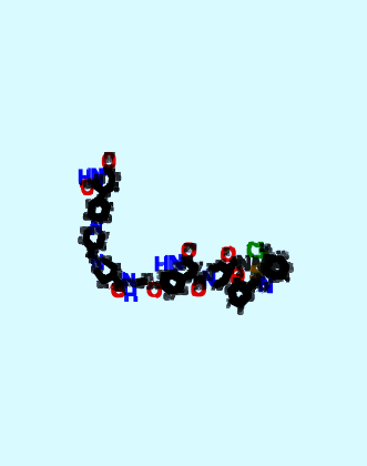 CNC(=O)C1(Oc2ccccc2-c2nc3cccc(Cl)c3s2)CCN(C(=O)[C@H]2CC(=O)Nc3cc(OCCNC(=O)C4CCN(CC5CCN(c6ccc(C7CCC(=O)NC7=O)cc6)CC5)CC4)ccc32)CC1